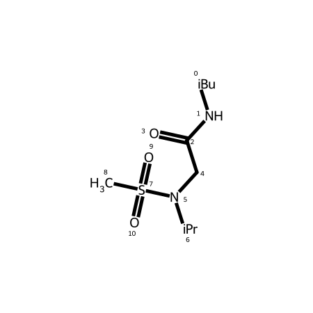 CCC(C)NC(=O)CN(C(C)C)S(C)(=O)=O